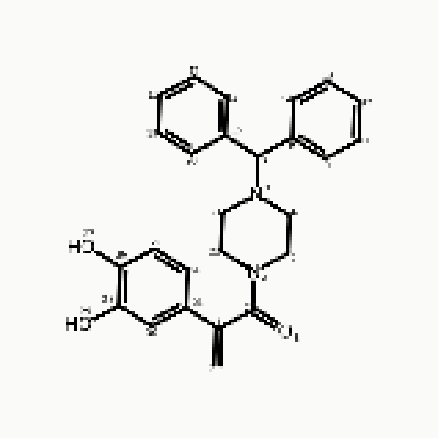 C=C(C(=O)N1CCN(C(c2ccccc2)c2ccccc2)CC1)c1ccc(O)c(O)c1